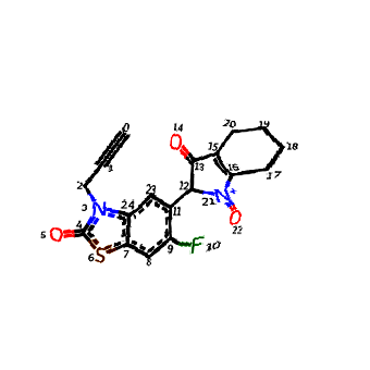 C#CCn1c(=O)sc2cc(F)c(C3C(=O)C4=C(CCCC4)[N+]3=O)cc21